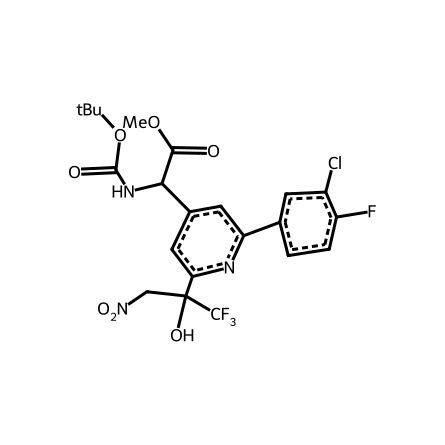 COC(=O)C(NC(=O)OC(C)(C)C)c1cc(-c2ccc(F)c(Cl)c2)nc(C(O)(C[N+](=O)[O-])C(F)(F)F)c1